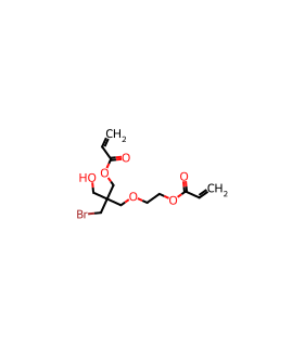 C=CC(=O)OCCOCC(CO)(CBr)COC(=O)C=C